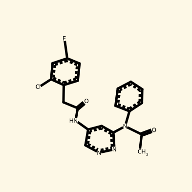 CC(=O)N(c1ccccc1)c1cc(NC(=O)Cc2ccc(F)cc2Cl)cnn1